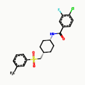 O=C(N[C@H]1CC[C@@H](CS(=O)(=O)c2cccc(C(F)(F)F)c2)CC1)c1ccc(Cl)c(F)c1